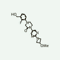 COC1CN(c2ncc(N3CCN(c4cccc(CO)c4F)CC3=O)cn2)C1